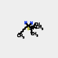 CCCCCCCCc1s[c]([Sn]([CH2]CCC)([CH2]CCC)[CH2]CCC)c(C#N)c1C#N